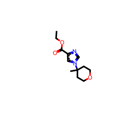 CCOC(=O)c1cn(C2(C)CCOCC2)cn1